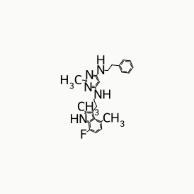 Cc1nc(NCCc2ccccc2)cc(NCCc2c(C)[nH]c3c(F)ccc(C)c23)n1